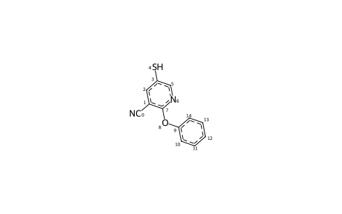 N#Cc1cc(S)cnc1Oc1ccccc1